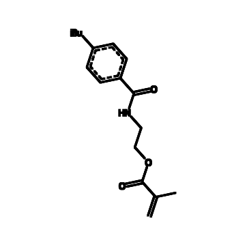 C=C(C)C(=O)OCCNC(=O)c1ccc(C(C)CC)cc1